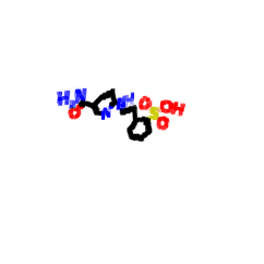 NC(=O)c1ccc(NC=Cc2ccccc2S(=O)(=O)O)nc1